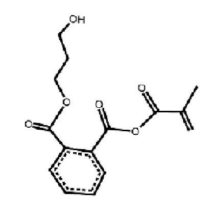 C=C(C)C(=O)OC(=O)c1ccccc1C(=O)OCCCO